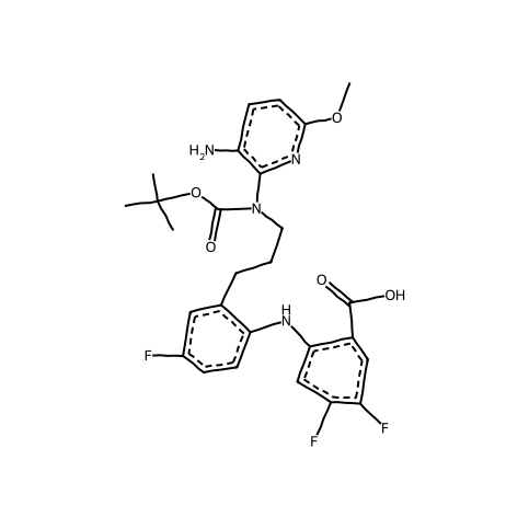 COc1ccc(N)c(N(CCCc2cc(F)ccc2Nc2cc(F)c(F)cc2C(=O)O)C(=O)OC(C)(C)C)n1